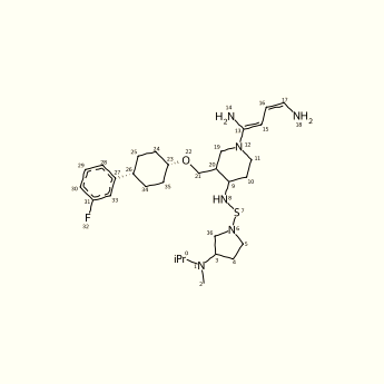 CC(C)N(C)C1CCN(SNC2CCN(/C(N)=C/C=C\N)CC2CO[C@H]2CC[C@@H](c3cccc(F)c3)CC2)C1